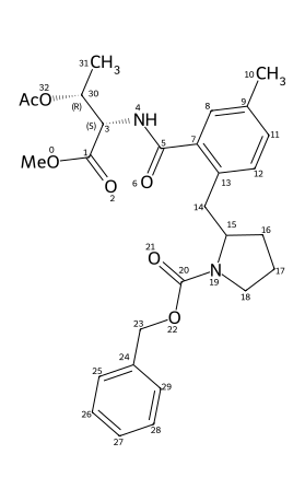 COC(=O)[C@@H](NC(=O)c1cc(C)ccc1CC1CCCN1C(=O)OCc1ccccc1)[C@@H](C)OC(C)=O